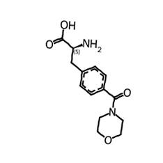 N[C@@H](Cc1ccc(C(=O)N2CCOCC2)cc1)C(=O)O